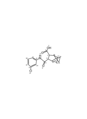 O=C(O)C1C(C(=O)Nc2cccc(Cl)c2)C2CCC1C21CC1